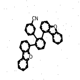 N#Cc1cccc(-c2c(-c3cccc4c3oc3ccccc34)cccc2-c2cccc3oc4ccccc4c23)c1